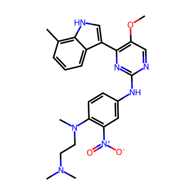 COc1cnc(Nc2ccc(N(C)CCN(C)C)c([N+](=O)[O-])c2)nc1-c1c[nH]c2c(C)cccc12